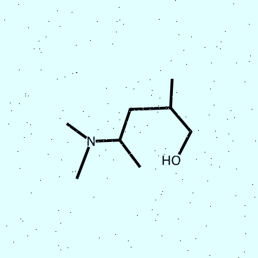 CC(CO)CC(C)N(C)C